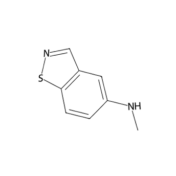 CNc1ccc2sncc2c1